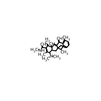 C=C(NC)C1=C(C)C(N(C)C)C2CC34Cc5ccc(C)c(c5C3C)C(=C)C4=CC2(C)C1=C